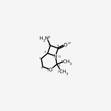 CC1(C)OCCC2C(N)C(=O)N21